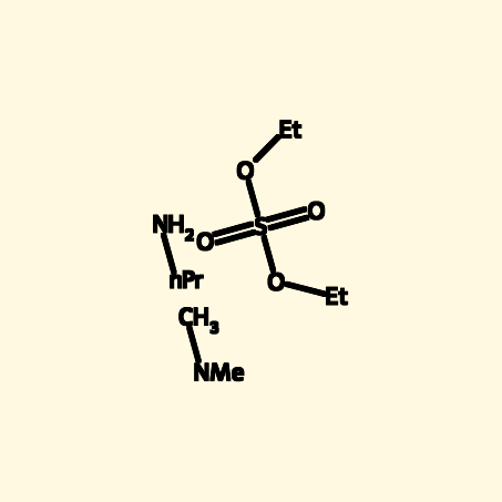 CCCN.CCOS(=O)(=O)OCC.CNC